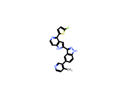 Cc1ccncc1-c1ccc2[nH]nc(-c3cc4c(-c5ccc(F)s5)nccc4[nH]3)c2c1